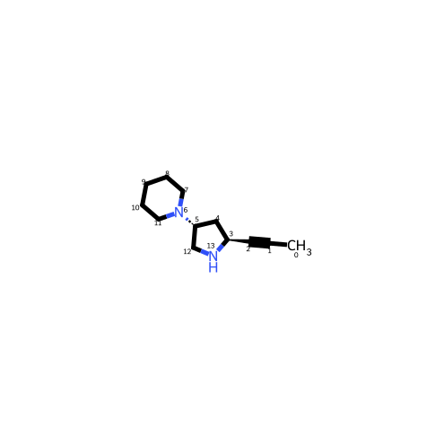 CC#C[C@@H]1C[C@@H](N2CCCCC2)CN1